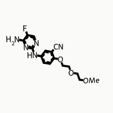 COCCOCCOc1ccc(Nc2ncc(F)c(N)n2)cc1C#N